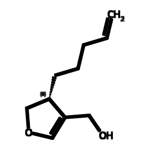 C=CCCC[C@H]1COC=C1CO